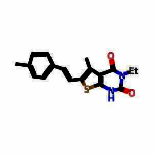 CCn1c(=O)[nH]c2sc(C=Cc3ccc(C)cc3)c(C)c2c1=O